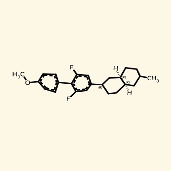 COc1ccc(-c2c(F)cc([C@@H]3CC[C@@H]4CC(C)CC[C@@H]4C3)cc2F)cc1